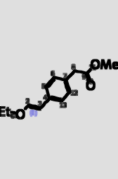 CCO/C=C/c1ccc(CC(=O)OC)cc1